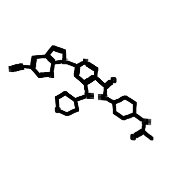 CC(=O)NC1CCC(NC(=O)c2cnc(-n3ccc4cc(C#N)cnc43)cc2NC2CCOCC2)CC1